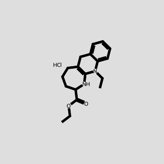 CCOC(=O)C1CCCC2=C(N1)N(CC)c1ccccc1C2.Cl